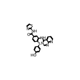 O=C(Nc1nccs1)c1ccc(Sc2ccc(O)cc2)c(Nc2ncnc3ncccc23)c1